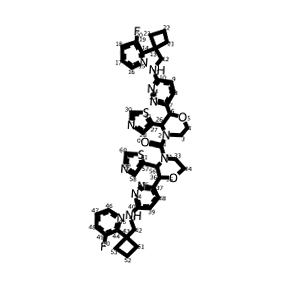 O=C(N1CCOC(c2ccc(NCC3(c4ncccc4F)CCC3)nn2)C1c1cncs1)N1CCOC(c2ccc(NCC3(c4ncccc4F)CCC3)nn2)C1c1cncs1